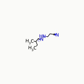 CCC(C)/C=N/NCCC#N